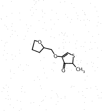 CC1SC=C(OCC2CCCO2)C1=O